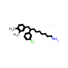 Cc1ccc(CC(CCCCCCCN)c2cccc(Cl)c2)cc1C